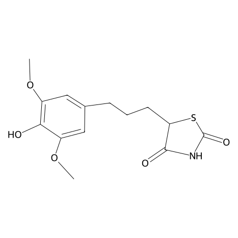 COc1cc(CCCC2SC(=O)NC2=O)cc(OC)c1O